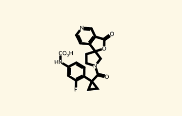 O=C(O)Nc1ccc(C2(C(=O)N3CCC4(C3)OC(=O)c3cnccc34)CC2)c(F)c1